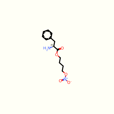 N[C@@H](Cc1ccccc1)C(=O)OCCCCO[N+](=O)[O-]